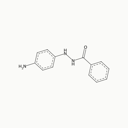 Nc1ccc(NNC(=O)c2ccccc2)cc1